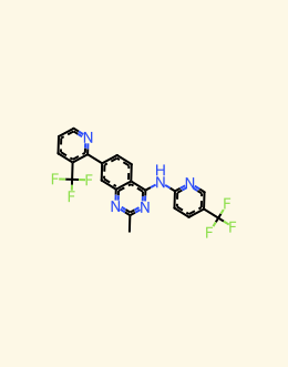 Cc1nc(Nc2ccc(C(F)(F)F)cn2)c2ccc(-c3ncccc3C(F)(F)F)cc2n1